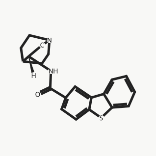 O=C(N[C@H]1CN2CCC1CC2)c1ccc2sc3ccccc3c2c1